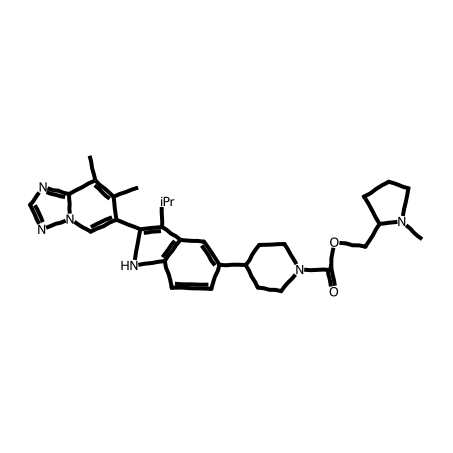 Cc1c(-c2[nH]c3ccc(C4CCN(C(=O)OCC5CCCN5C)CC4)cc3c2C(C)C)cn2ncnc2c1C